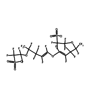 O=S(=O)(Cl)C(F)(F)C(F)(F)OC(F)(C(F)(F)F)C(F)(F)C(F)=C(F)OC(F)=C(F)C(F)(F)C(F)(OC(F)(F)C(F)(F)S(=O)(=O)Cl)C(F)(F)F